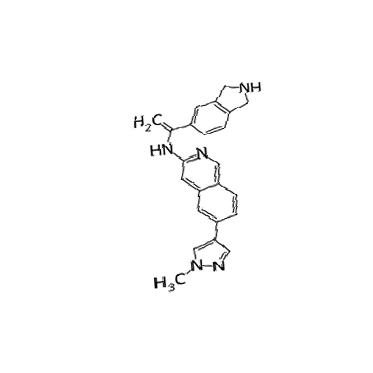 C=C(Nc1cc2cc(-c3cnn(C)c3)ccc2cn1)c1ccc2c(c1)CNC2